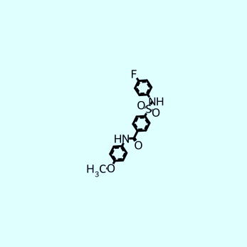 COc1ccc(NC(=O)c2ccc(S(=O)(=O)Nc3ccc(F)cc3)cc2)cc1